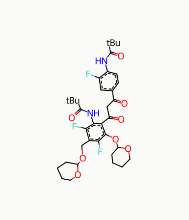 CC(C)(C)C(=O)Nc1ccc(C(=O)CC(=O)c2c(NC(=O)C(C)(C)C)c(F)c(COC3CCCCO3)c(F)c2OC2CCCCO2)cc1F